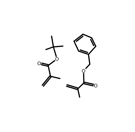 C=C(C)C(=O)OC(C)(C)C.C=C(C)C(=O)OCc1ccccc1